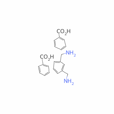 NCc1cccc(CN)c1.O=C(O)c1ccccc1.O=C(O)c1ccccc1